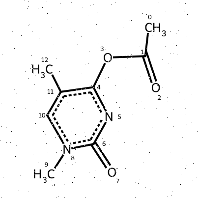 CC(=O)Oc1nc(=O)n(C)cc1C